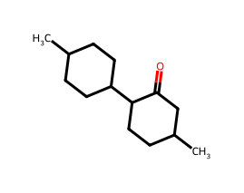 CC1CCC(C2CCC(C)CC2=O)CC1